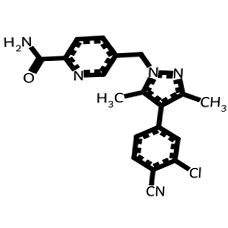 Cc1nn(Cc2ccc(C(N)=O)nc2)c(C)c1-c1ccc(C#N)c(Cl)c1